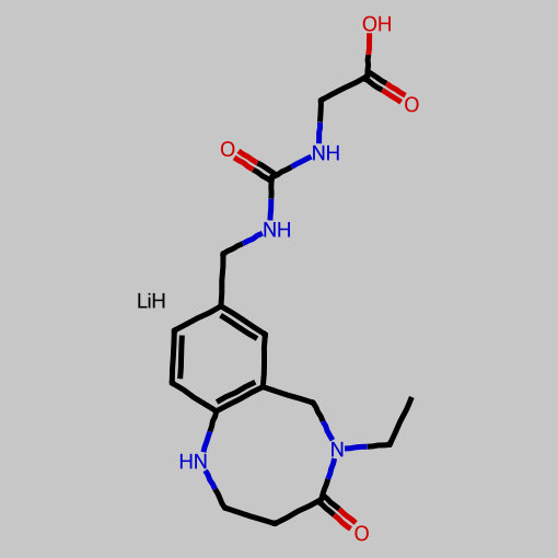 CCN1Cc2cc(CNC(=O)NCC(=O)O)ccc2NCCC1=O.[LiH]